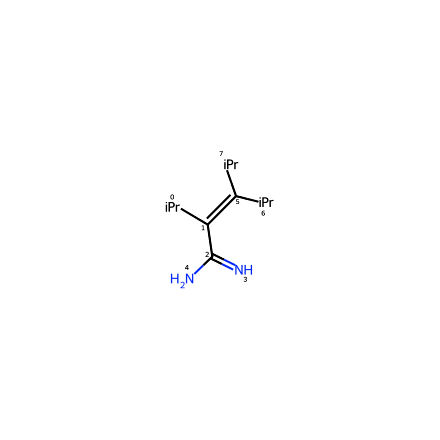 CC(C)C(C(=N)N)=C(C(C)C)C(C)C